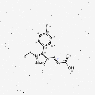 CCn1ncc(/C=C/C(=O)O)c1-c1ccc(F)cc1